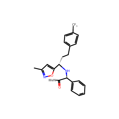 CNC(=O)[C@@H](N[C@@H](CCc1ccc(C(F)(F)F)cc1)c1cc(C)no1)c1ccccc1